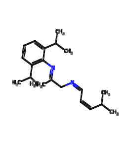 C/C(C/N=C\C=C/C(C)C)=N\c1c(C(C)C)cccc1C(C)C